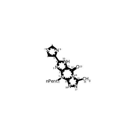 CCCCCn1c2nc(-c3cscn3)[nH]c2c(=O)n2c(C)nnc12